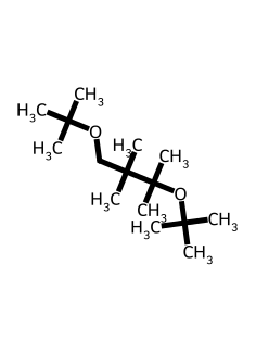 CC(C)(C)OCC(C)(C)C(C)(C)OC(C)(C)C